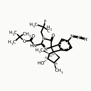 C[C@@H]1C[C@@]2(c3ccc(N=[N+]=[N-])cc3C23N=C(NC(=O)OC(C)(C)C)N(CC(C)(C)F)C3=O)[C@H](C)[C@H]1O